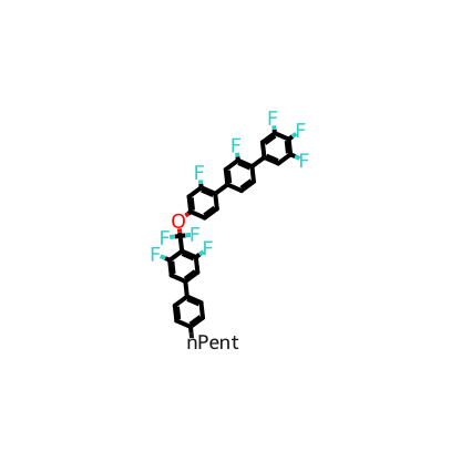 CCCCCc1ccc(-c2cc(F)c(C(F)(F)Oc3ccc(-c4ccc(-c5cc(F)c(F)c(F)c5)c(F)c4)c(F)c3)c(F)c2)cc1